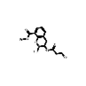 CCCOC(=O)c1cccc2c1OB(O)C(NC(=O)CCC#N)C2